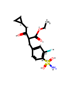 CCOC(=O)C(Cc1ccc(S(N)(=O)=O)c(F)c1)C(=O)CC1CC1